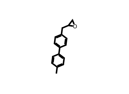 Cc1ccc(-c2ccc(CC3CO3)cc2)cc1